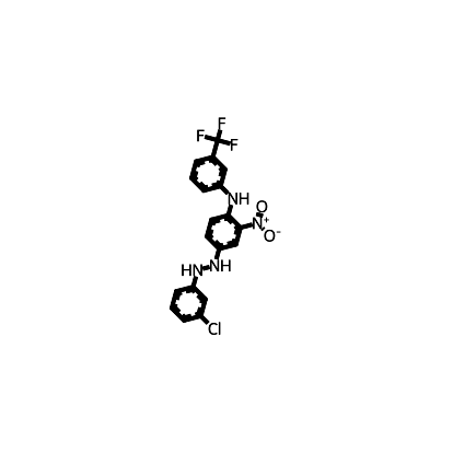 O=[N+]([O-])c1cc(NNc2cccc(Cl)c2)ccc1Nc1cccc(C(F)(F)F)c1